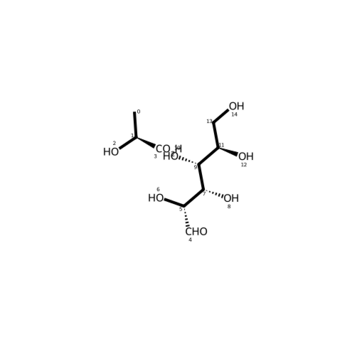 C[C@H](O)C(=O)O.O=C[C@H](O)[C@@H](O)[C@H](O)[C@H](O)CO